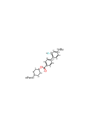 CCCCCC1CCC(OC(=O)c2ccc(-c3ccc(CCCC)cc3F)cc2)CC1